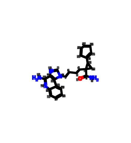 NC(=O)C1(CCCCn2cnc3c(N)nc4ccccc4c32)CC1c1ccccc1